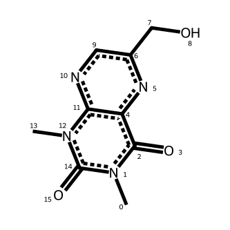 Cn1c(=O)c2nc(CO)cnc2n(C)c1=O